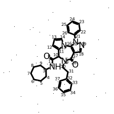 O=C(NC1CCCCCC1)C1c2cccn2-c2c(cnn2-c2ccccc2)C(=O)N1CCc1ccccc1